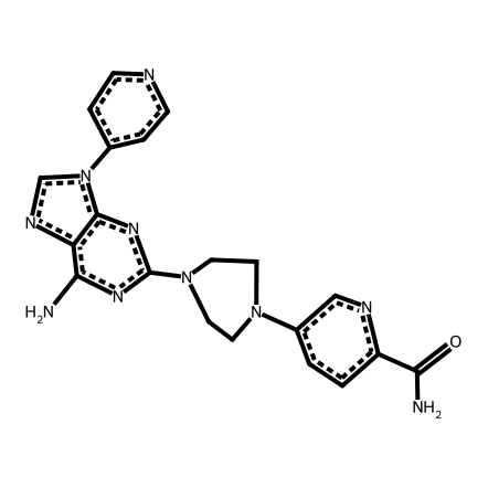 NC(=O)c1ccc(N2CCN(c3nc(N)c4ncn(-c5ccncc5)c4n3)CC2)cn1